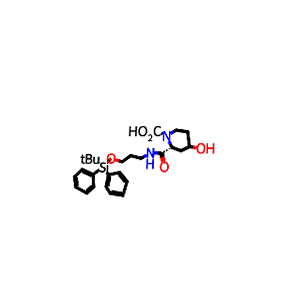 CC(C)(C)[Si](OCCCNC(=O)[C@H]1CC(O)CCN1C(=O)O)(c1ccccc1)c1ccccc1